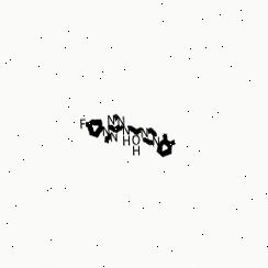 Cc1cccc(N2CCN(CC(O)CNc3ncnc4c3nc(C)n4-c3ccc(F)cc3)CC2)c1C